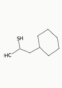 [CH]C(S)CC1CCCCC1